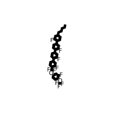 CCCCCc1ccc(-c2ccc(-c3ccc(-c4ccc(C(F)(F)Oc5ccc(OC(F)(F)F)c(F)c5)c(F)c4)c(F)c3)c(F)c2)c(F)c1